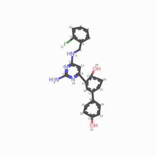 Nc1nc(NCc2ccccc2F)cc(-c2cc(-c3ccc(O)cc3)ccc2O)n1